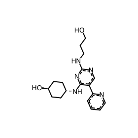 OCCCNc1ncc(-c2ccccn2)c(N[C@H]2CC[C@H](O)CC2)n1